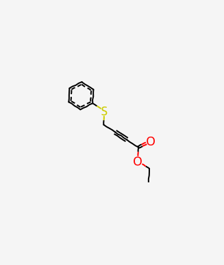 CCOC(=O)C#CCSc1ccccc1